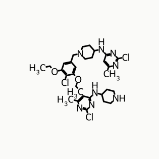 CCOc1cc(CN2CCC(Nc3cc(C)nc(Cl)n3)CC2)cc(OCC)c1Cl.Cc1cc(NC2CCNCC2)nc(Cl)n1